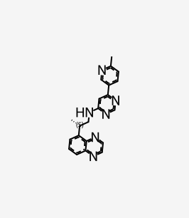 Cc1ccc(-c2cc(NC[C@@H](C)c3cccc4nccnc34)ncn2)cn1